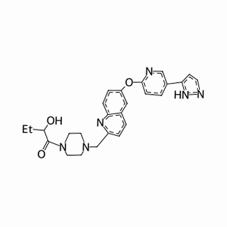 CCC(O)C(=O)N1CCN(Cc2ccc3cc(Oc4ccc(-c5ccn[nH]5)cn4)ccc3n2)CC1